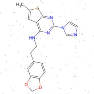 Cc1cc2c(NCCc3ccc4c(c3)OCO4)nc(-n3ccnc3)nc2s1